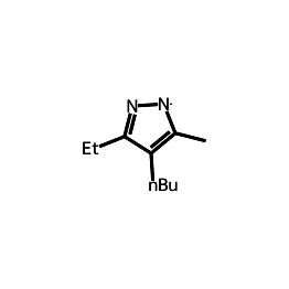 CCCCC1=C(C)[N]N=C1CC